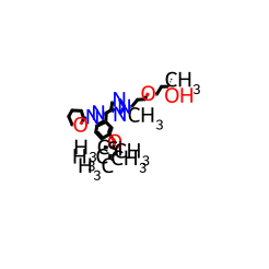 CC(CCOCC[C@H](C)O)n1ncc(-c2nn(C3CCCCO3)c3ccc(O[Si](C)(C)C(C)(C)C)cc23)n1